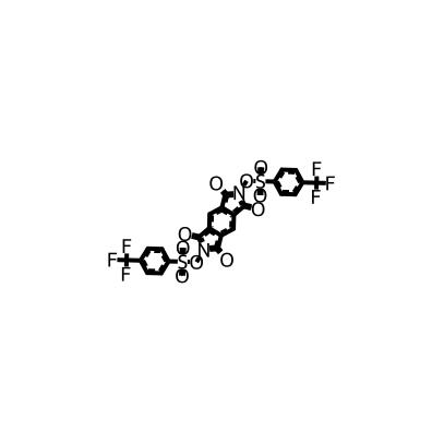 O=c1c2cc3c(=O)n(OS(=O)(=O)c4ccc(C(F)(F)F)cc4)c(=O)c3cc2c(=O)n1OS(=O)(=O)c1ccc(C(F)(F)F)cc1